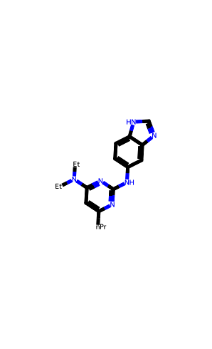 CCCc1cc(N(CC)CC)nc(Nc2ccc3[nH]cnc3c2)n1